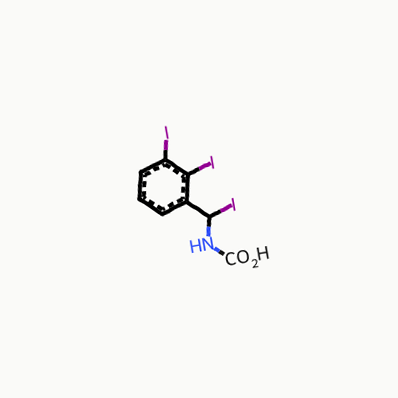 O=C(O)NC(I)c1cccc(I)c1I